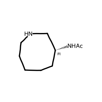 CC(=O)N[C@@H]1CCCCCNC1